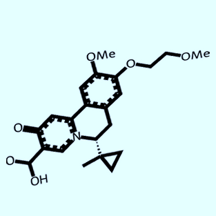 COCCOc1cc2c(cc1OC)-c1cc(=O)c(C(O)O)cn1[C@@H](C1(C)CC1)C2